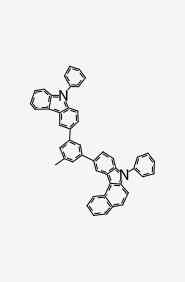 Cc1cc(-c2ccc3c(c2)c2ccccc2n3-c2ccccc2)cc(-c2ccc3c(c2)c2c4ccccc4ccc2n3-c2ccccc2)c1